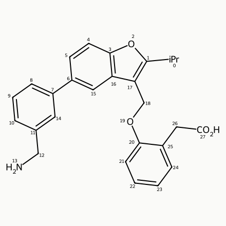 CC(C)c1oc2ccc(-c3cccc(CN)c3)cc2c1COc1ccccc1CC(=O)O